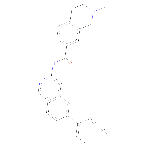 C=C=C/C(=C\C)c1ccc2cnc(NC(=O)c3ccc4c(c3)CN(C)CC4)cc2c1